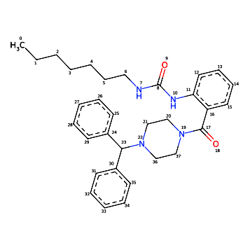 CCCCCCCNC(=O)Nc1ccccc1C(=O)N1CCN(C(c2ccccc2)c2ccccc2)CC1